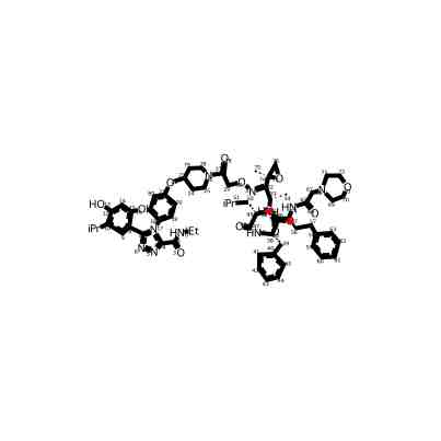 CCNC(=O)c1nnc(-c2cc(C(C)C)c(O)cc2O)n1-c1ccc(OC2CCN(C(=O)CO/N=C(/[C@H](C)NC(=O)[C@H](Cc3ccccc3)NC(=O)[C@H](CC(C)C)NC(=O)[C@H](CCc3ccccc3)NC(=O)CN3CCOCC3)[C@@]3(C)CO3)CC2)cc1